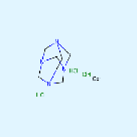 C1N2CN3CN1CN(C2)C3.Cl.Cl.Cl.[Co]